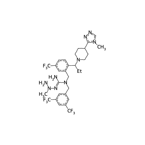 CCC(c1ccc(C(F)(F)F)cc1CN(Cc1cc(C(F)(F)F)cc(C(F)(F)F)c1)/C(N)=N/N(C)N)N1CCC(c2nncn2C)CC1